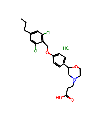 CCCc1cc(Cl)c(COc2ccc(C3CN(CCC(=O)O)CCO3)cc2)c(Cl)c1.Cl